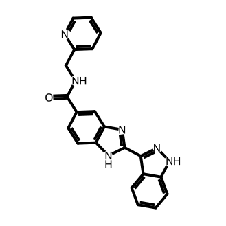 O=C(NCc1ccccn1)c1ccc2[nH]c(-c3n[nH]c4ccccc34)nc2c1